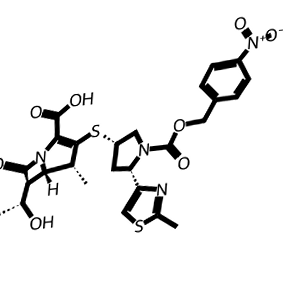 Cc1nc([C@@H]2C[C@H](SC3=C(C(=O)O)N4C(=O)[C@H]([C@@H](C)O)[C@H]4[C@H]3C)CN2C(=O)OCc2ccc([N+](=O)[O-])cc2)cs1